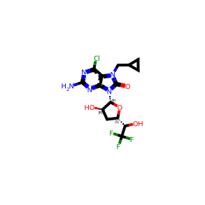 Nc1nc(Cl)c2c(n1)n([C@@H]1O[C@H](C(O)C(F)(F)F)C[C@H]1O)c(=O)n2CC1CC1